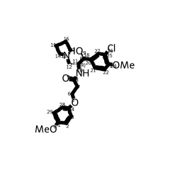 COc1ccc(OCCC(=O)N[C@H](CN2CCCC2)[C@H](O)c2ccc(OC)c(Cl)c2)cc1